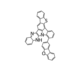 C1=CC2=Nc3c(n4c5c(-c6ccc7oc8ccccc8c7c6)cccc5c5c6sc7ccccc7c6cc3c54)NC2C=C1